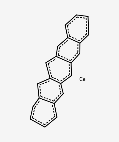 [Ca].c1ccc2cc3cc4cc5ccccc5cc4cc3cc2c1